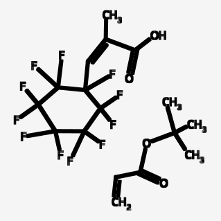 C=CC(=O)OC(C)(C)C.CC(=CC1(F)C(F)(F)C(F)(F)C(F)(F)C(F)(F)C1(F)F)C(=O)O